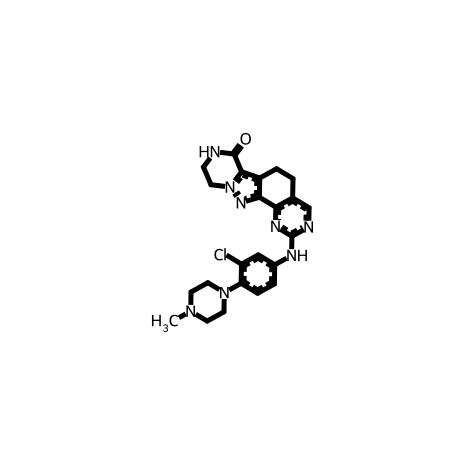 CN1CCN(c2ccc(Nc3ncc4c(n3)-c3nn5c(c3CC4)C(=O)NCC5)cc2Cl)CC1